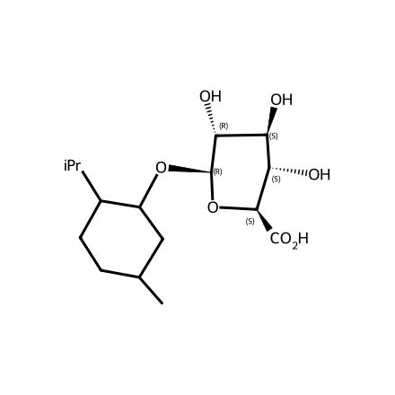 CC1CCC(C(C)C)C(O[C@@H]2O[C@H](C(=O)O)[C@@H](O)[C@H](O)[C@H]2O)C1